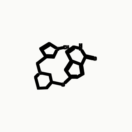 Cn1ccc(CN2CCCC(Oc3ccc4c(=O)[nH]ccc4c3)C2)c1